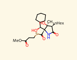 CCCCCC[C@H]1C(=O)N[C@](C(=O)SCCC(=O)OC)([C@@H](O)C2CCCCC2)[C@@]1(C)O